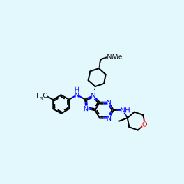 CNC[C@H]1CC[C@H](n2c(Nc3cccc(C(F)(F)F)c3)nc3cnc(NC4(C)CCOCC4)nc32)CC1